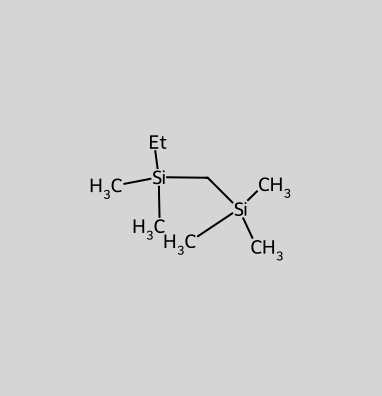 CC[Si](C)(C)C[Si](C)(C)C